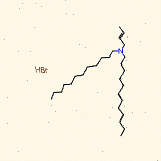 Br.CC=CCN(CCCCCCCCCCCC)CCCCCCCCCCCC